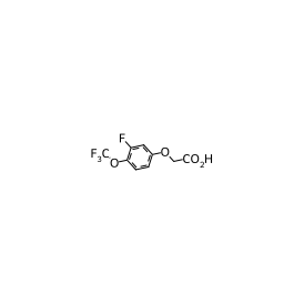 O=C(O)COc1ccc(OC(F)(F)F)c(F)c1